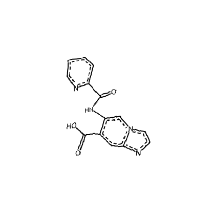 O=C(Nc1cn2ccnc2cc1C(=O)O)c1ccccn1